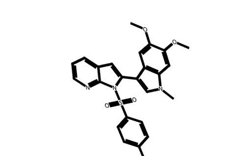 COc1cc2c(-c3cc4cccnc4n3S(=O)(=O)c3ccc(C)cc3)cn(C)c2cc1OC